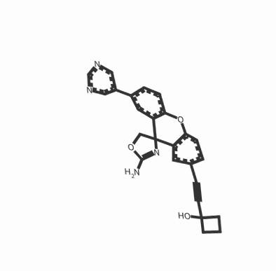 NC1=NC2(CO1)c1cc(C#CC3(O)CCC3)ccc1Oc1ccc(-c3cncnc3)cc12